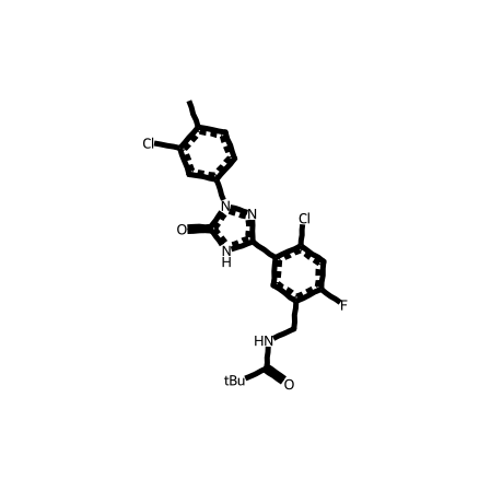 Cc1ccc(-n2nc(-c3cc(CNC(=O)C(C)(C)C)c(F)cc3Cl)[nH]c2=O)cc1Cl